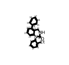 CCc1ccccc1N1C(=O)NCc2c(-c3ccccc3)cccc21